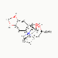 COC12C[C@]34CCCN3CC(O1)c1cc3c(cc1[C@@H]4[C@@H]2O)OCO3